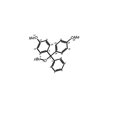 CCCCOC(c1ccccc1)(c1ccc(OC)cc1)c1ccc(OC)cc1